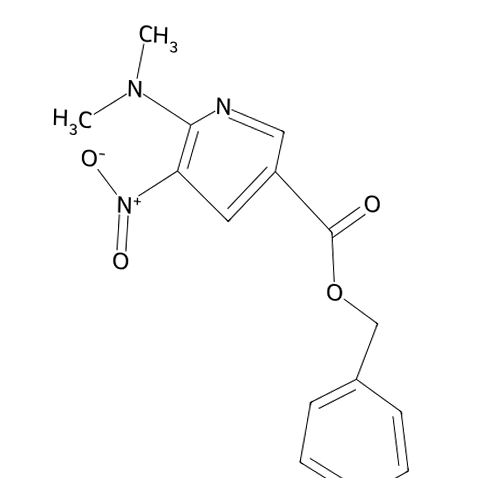 CN(C)c1ncc(C(=O)OCc2ccccc2)cc1[N+](=O)[O-]